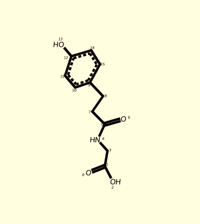 O=C(O)CNC(=O)CCc1ccc(O)cc1